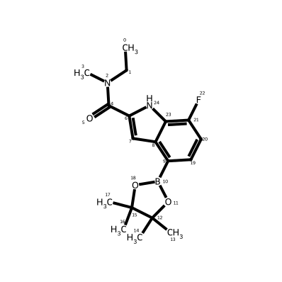 CCN(C)C(=O)c1cc2c(B3OC(C)(C)C(C)(C)O3)ccc(F)c2[nH]1